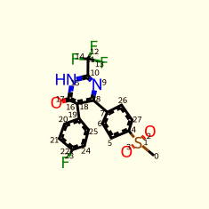 CS(=O)(=O)c1ccc(-c2nc(C(F)(F)F)[nH]c(=O)c2-c2ccc(F)cc2)cc1